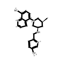 C[C@H]1C[C@@H](NCc2ccc(C(F)(F)F)cn2)CN(c2ccc(C#N)c3ncccc23)C1